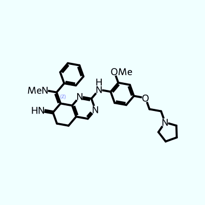 CN/C(=C1\C(=N)CCc2cnc(Nc3ccc(OCCN4CCCC4)cc3OC)nc21)c1ccccc1